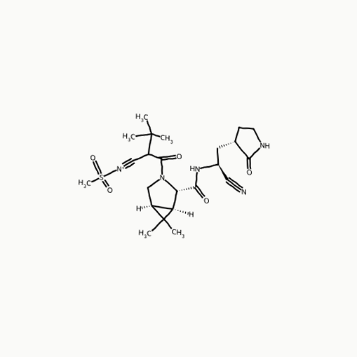 CC(C)(C)C(C#[N+]S(C)(=O)=O)C(=O)N1C[C@H]2[C@@H]([C@H]1C(=O)N[C@H](C#N)C[C@@H]1CCNC1=O)C2(C)C